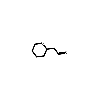 S=CCC1CCCCO1